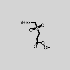 CCCCCCCS(=O)(=O)CCC(=O)OO